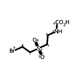 O=C(O)NCCS(=O)(=O)CCBr